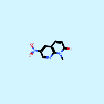 Cn1c(=O)ccc2cc([N+](=O)[O-])cnc21